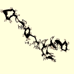 CC(C)[C@H](NC(=O)[C@@H](N)Cc1ccc(NC(=O)OCc2ccccc2)cc1)C(=O)N(C(=O)OCc1ccccc1)c1n[nH]c(=S)s1